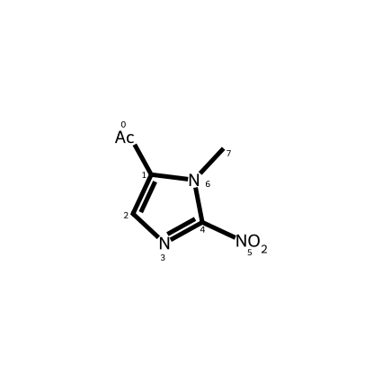 CC(=O)c1cnc([N+](=O)[O-])n1C